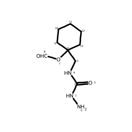 NNC(=O)NCC1(OC=O)CCCCC1